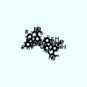 Cc1noc(C)c1-c1cc(C(O)(c2cccnn2)c2c(F)ccc(-n3c(=O)[nH]c4c(C(O)(c5ccc(F)cn5)c5c(F)cc(F)cc5F)cc(-c5c(C)noc5C)cc43)c2F)c2[nH]c(=O)[nH]c2c1